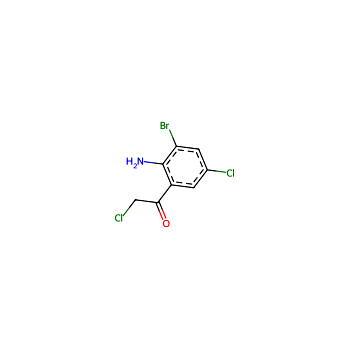 Nc1c(Br)cc(Cl)cc1C(=O)CCl